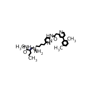 CCC/C(=C\N(N)CCCCc1ccc(NC(=O)Cc2cc(-c3cc(C)ccc3C)ccn2)nn1)C(=O)NC